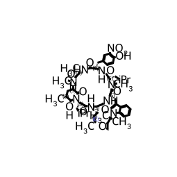 C/C=C/C[C@@H]1NC(=O)[C@H](CC(C)C)N2C(=O)[C@H](C[C@H](C)C2O)N(C)C(=O)[C@H](C)NC(=O)[C@H](Cc2ccc(O)c([N+](=O)[O-])c2)NC(=O)[C@H](CC(C)C)N(C)C(=O)[C@H](Cc2cn(C(C)(C)C3CO3)c3ccccc23)NC1=O